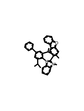 Cc1cc2oc3ccccc3c2cc1-c1n(-c2c(C(C)C)cc(-c3ccccc3)cc2C(C)C)c2ccccc2[n+]1C